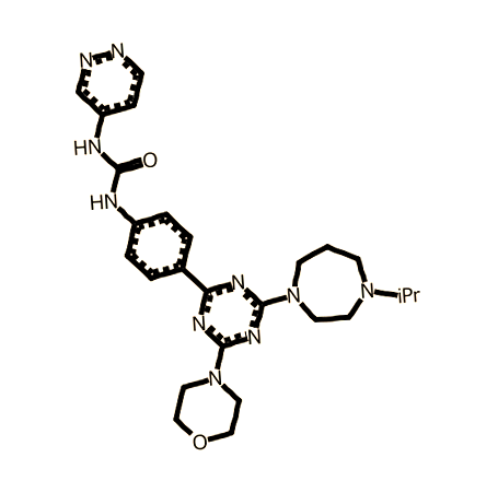 CC(C)N1CCCN(c2nc(-c3ccc(NC(=O)Nc4ccnnc4)cc3)nc(N3CCOCC3)n2)CC1